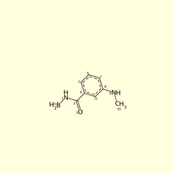 BNC(=O)c1cccc(NC)c1